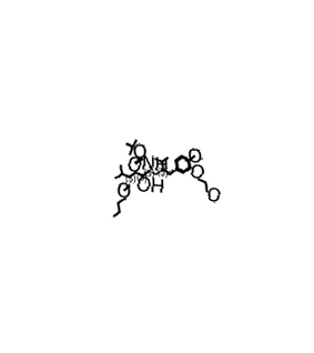 CCCCOC[C@@H](C[C@H](O)[C@H](C[C@H](Cc1ccc(OC)c(OCCCOC)c1)C(C)C)NC(=O)OC(C)(C)C)C(C)C